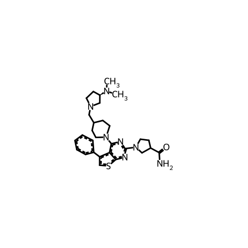 CN(C)[C@@H]1CCN(CC2CCN(c3nc(N4CCC(C(N)=O)C4)nc4scc(-c5ccccc5)c34)CC2)C1